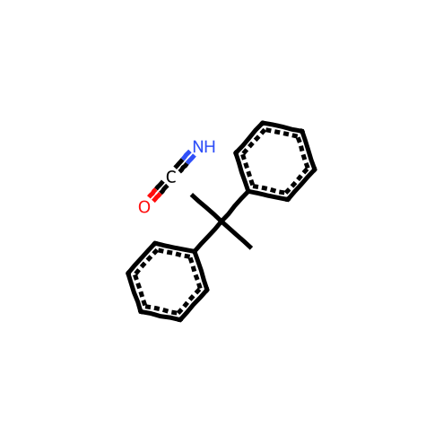 CC(C)(c1ccccc1)c1ccccc1.N=C=O